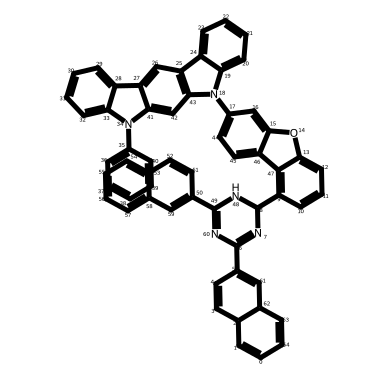 C1=CC2C=CC(C3=NC(c4cccc5oc6cc(-n7c8ccccc8c8cc9c%10ccccc%10n(-c%10ccccc%10)c9cc87)ccc6c45)NC(c4ccc5ccccc5c4)=N3)=CC2C=C1